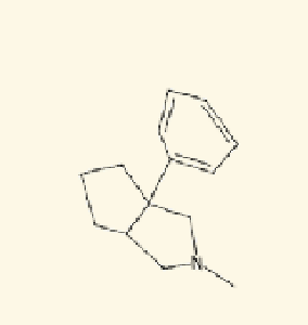 CN1CC2CCCC2(c2ccccc2)C1